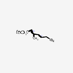 CCOC(=O)/C=C(C)/C=C/CC(C)(C)C